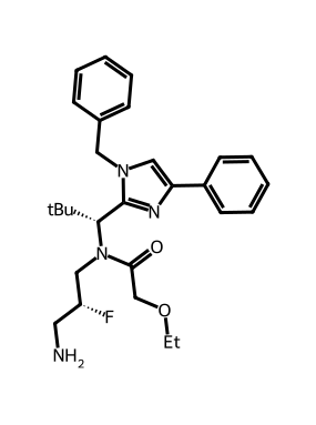 CCOCC(=O)N(C[C@H](F)CN)[C@@H](c1nc(-c2ccccc2)cn1Cc1ccccc1)C(C)(C)C